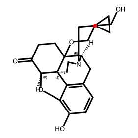 O=C1CCC2(OCCCO)[C@H]3Cc4ccc(O)c5c4[C@@]2(CCN3CC2CC2)[C@H]1O5